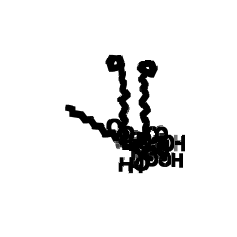 CCCCCCCCCCC[C@@H](CC(=O)N[C@H]1C(O)O[C@H](CO)[C@@H](OS(=O)(=O)O)[C@@H]1OC(=O)CCCCCCCCCc1ccccc1)OC(=O)CCCCCCCCCc1ccccc1